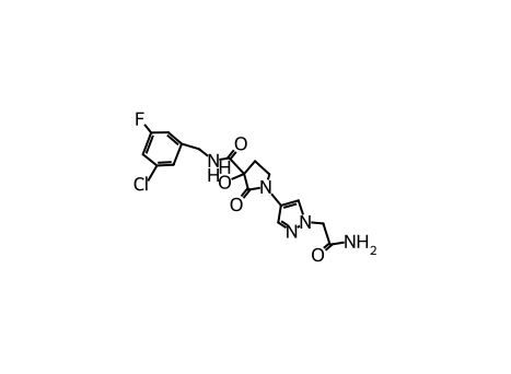 NC(=O)Cn1cc(N2CCC(O)(C(=O)NCc3cc(F)cc(Cl)c3)C2=O)cn1